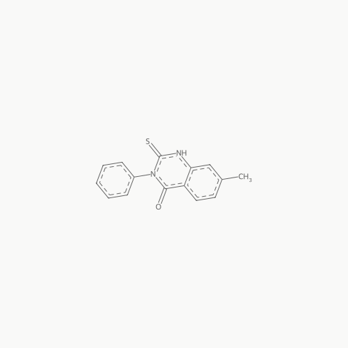 Cc1ccc2c(=O)n(-c3ccccc3)c(=S)[nH]c2c1